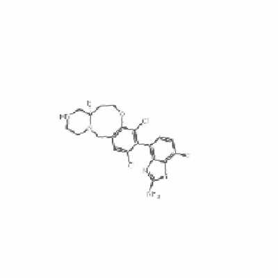 Nc1nc2c(-c3c(Cl)cc4c(c3Cl)OCC[C@@H]3CNCCN3C4)ccc(F)c2s1